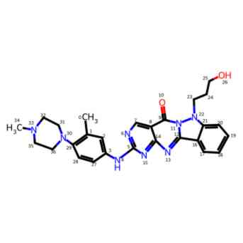 Cc1cc(Nc2ncc3c(=O)n4c(nc3n2)c2ccccc2n4CCCO)ccc1N1CCN(C)CC1